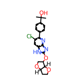 CC(C)(O)c1ccc(-c2nc3nc(OC4CO[C@@H]5CCO[C@H]45)[nH]c3cc2Cl)cc1